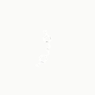 Clc1ccc(C[N]Cc2ccc(Cl)cc2)cc1